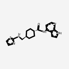 O=C(Nc1ccnc2[nH]ccc12)[C@H]1CC[C@H](CNc2nccs2)CC1